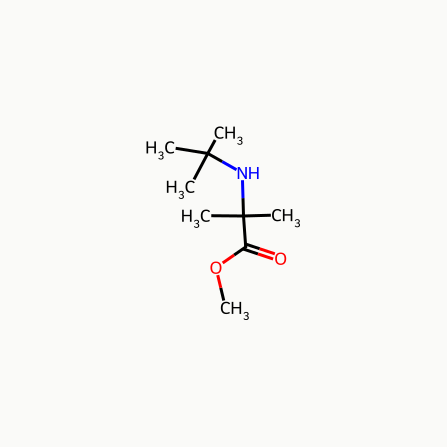 COC(=O)C(C)(C)NC(C)(C)C